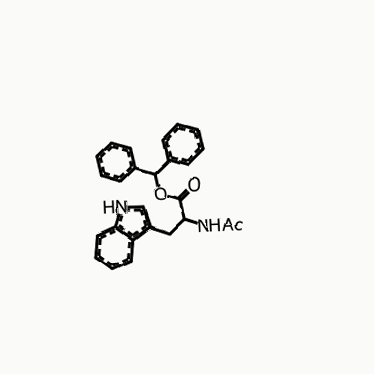 CC(=O)NC(Cc1c[nH]c2ccccc12)C(=O)OC(c1ccccc1)c1ccccc1